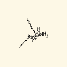 CCCCCCCCCCCCC(C)N(CCCCN(CC(O)CN)C(C)CCCCCCCCCCCC)CC(O)CC